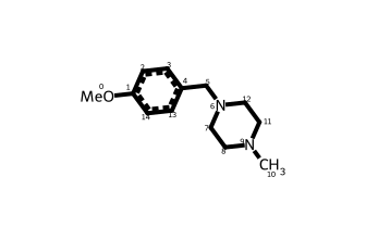 COc1ccc(CN2CCN(C)CC2)cc1